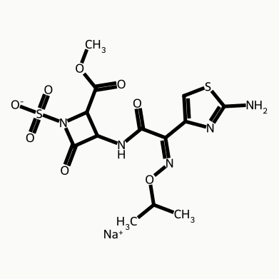 COC(=O)C1C(NC(=O)C(=NOC(C)C)c2csc(N)n2)C(=O)N1S(=O)(=O)[O-].[Na+]